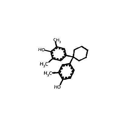 Cc1cc(C2(c3cc(C)c(O)c(C)c3)CCCCC2)ccc1O